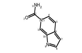 NC(=O)n1ccc2ccnc-2c1